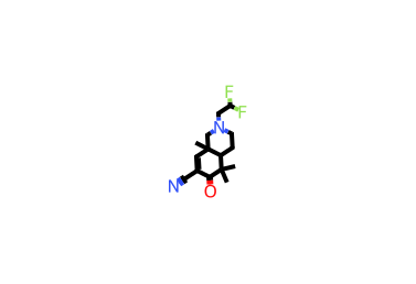 CC12C=C(C#N)C(=O)C(C)(C)C1CCN(CC(F)F)C2